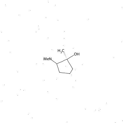 [CH2]NC1CCC[C@]1(C)O